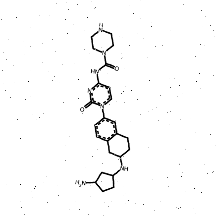 NC1CCC(NC2CCc3cc(-n4ccc(NC(=O)N5CCNCC5)nc4=O)ccc3C2)C1